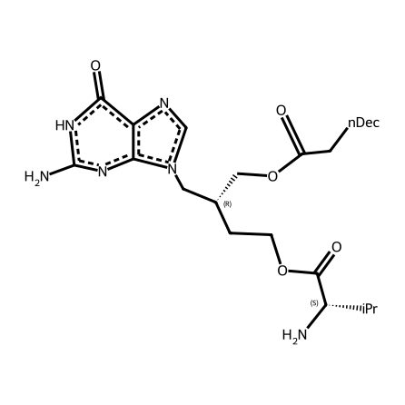 CCCCCCCCCCCC(=O)OC[C@H](CCOC(=O)[C@@H](N)C(C)C)Cn1cnc2c(=O)[nH]c(N)nc21